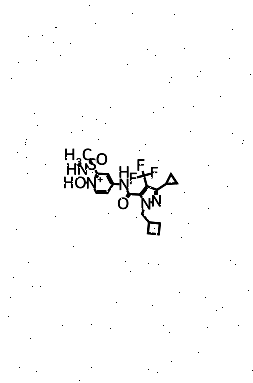 CS(=N)(=O)c1cc(NC(=O)c2c(C(F)(F)F)c(C3CC3)nn2CC2CCC2)cc[n+]1O